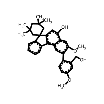 COc1ccc(-c2cc3c4c(cc(O)c3cc2OC)C2(CC(C)(C)CC(C)(C)C2)c2ccccc2-4)c(CO)c1